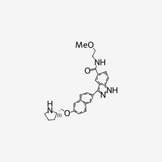 COCCNC(=O)c1ccc2[nH]nc(-c3ccc4cc(OC[C@@H]5CCCN5)ccc4c3)c2c1